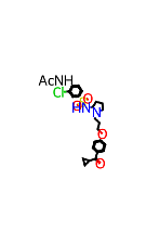 CC(=O)Nc1ccc(S(=O)(=O)NC2CCCN2CCCOc2ccc(C(=O)C3CC3)cc2)cc1Cl